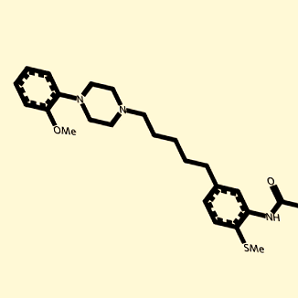 COc1ccccc1N1CCN(CCCCCc2ccc(SC)c(NC(N)=O)c2)CC1